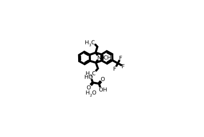 CCC12c3ccccc3C(CC)(c3cc(C(F)(F)F)ccc31)N2C.O.O=C(O)C(=O)O